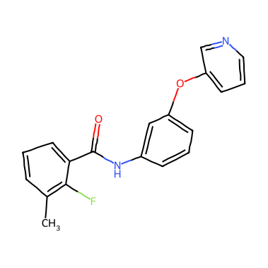 Cc1cccc(C(=O)Nc2cccc(Oc3cccnc3)c2)c1F